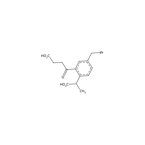 CC(C)Cc1ccc(C(C)C(=O)O)c(C(=O)CCC(=O)O)c1